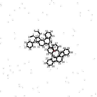 C=Cc1c(/C=C\C)c2c3c(ccc2n1-c1ccccc1)c(-c1ccc(-n2c4ccccc4c4ccc5c6ccccc6n(-c6ccccc6)c5c42)cc1)nc1ccccc13